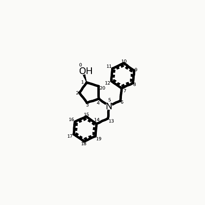 O[C@@H]1CCC(N(Cc2ccccc2)Cc2ccccc2)C1